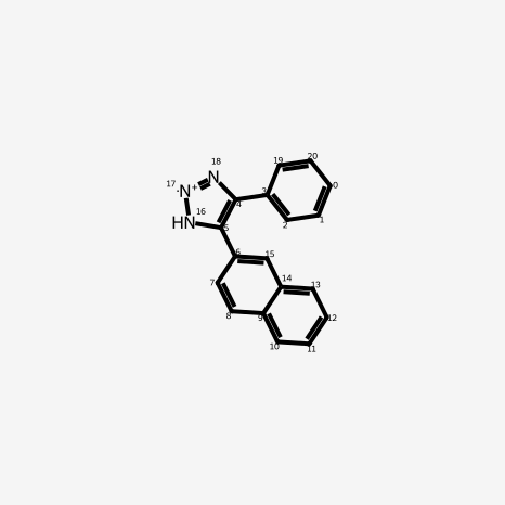 c1ccc(C2=C(c3ccc4ccccc4c3)N[N+]=N2)cc1